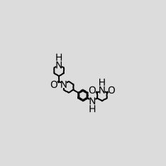 O=C1CCC(Nc2ccc(C3CCN(C(=O)C4CCNCC4)CC3)cc2)C(=O)N1